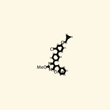 COc1nc(OC)c(Cc2ccccc2)c(C2CC=C(c3ccc(OCC4CC4)cc3Cl)CC2)n1